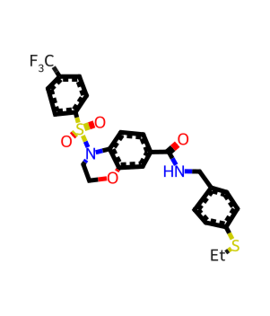 CCSc1ccc(CNC(=O)c2ccc3c(c2)OCCN3S(=O)(=O)c2ccc(C(F)(F)F)cc2)cc1